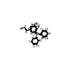 Br.CCCc1cccc(P(c2ccccc2)c2ccccc2)c1